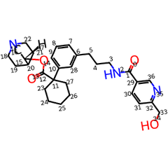 O=C(NCCCc1cccc(C2(C(=O)O[C@H]3CN4CCC3CC4)CCCCC2)c1)c1ccc(CO)nc1